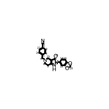 N#Cc1ccc(CN2CCc3[nH]n(-c4ccc5c(c4)OCO5)c(=O)c3C2)cc1